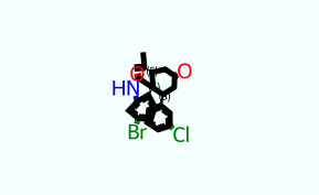 C=C(C)[C@@H]1CC(=O)C[C@@H](c2cccc(Cl)c2)[C@@]12C(=O)Nc1cc(Br)ccc12